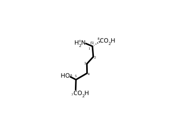 N[C@@H](CCCC(O)C(=O)O)C(=O)O